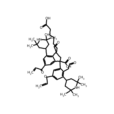 C=CC(=O)c1cc(C2CC(C)(C)NC(C)(C)C2)c(CC=O)c(C(CCCCCCCC(=O)O)(C(=O)O)c2cc(C(=O)C=C)cc(C3CC(C)(C)NC(C)(C)C3)c2CC=O)c1